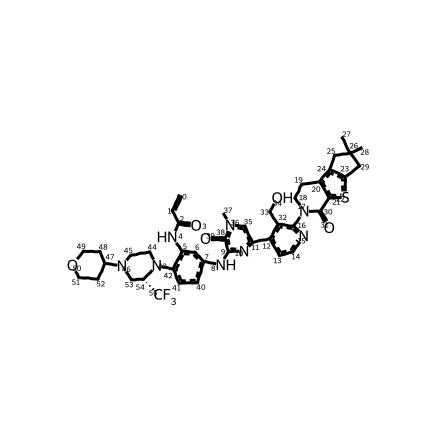 C=CC(=O)Nc1cc(Nc2nc(-c3ccnc(N4CCc5c(sc6c5CC(C)(C)C6)C4=O)c3CO)cn(C)c2=O)ccc1N1CCN(C2CCOCC2)C[C@H]1C(F)(F)F